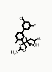 CCC(O)CC(C)(C(C)C)C1(c2cc(-c3cc(F)cc(Cl)c3)ccc2C)COC(N)=N1